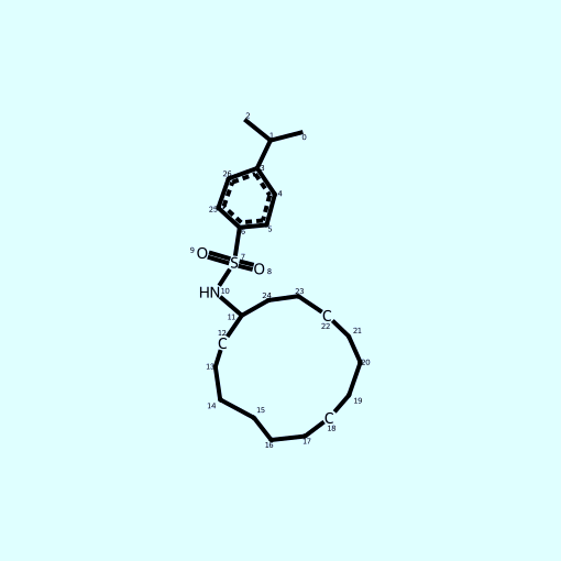 CC(C)c1ccc(S(=O)(=O)NC2CCCCCCCCCCCCC2)cc1